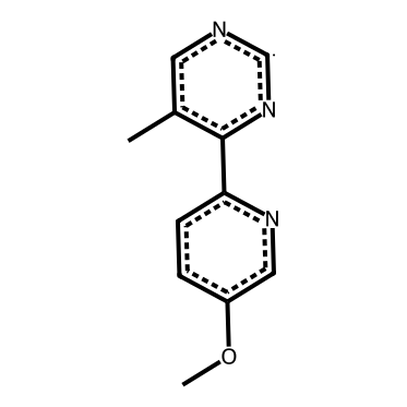 COc1ccc(-c2n[c]ncc2C)nc1